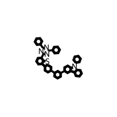 c1ccc(-c2nc(-c3ccccc3)nc(-c3cccc4c3sc3cc(-c5cccc(-c6ccc7c(c6)c6ccccc6n7-c6ccccc6)c5)ccc34)n2)cc1